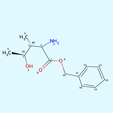 C[C@H](O)[C@H](C)C(N)C(=O)OCc1ccccc1